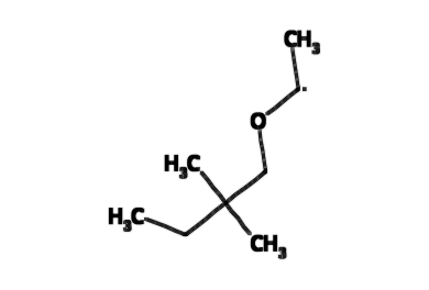 C[CH]OCC(C)(C)CC